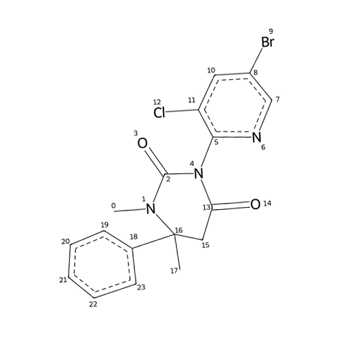 CN1C(=O)N(c2ncc(Br)cc2Cl)C(=O)CC1(C)c1ccccc1